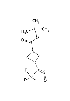 CC(C)(C)OC(=O)N1CC(C(=S=O)C(F)(F)F)C1